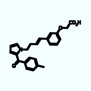 Cc1ccc(C(=O)c2cccn2CCC=Cc2cccc(OCC(=O)O)c2)cc1